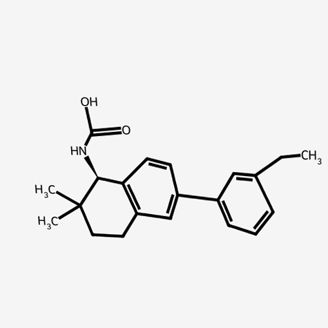 CCc1cccc(-c2ccc3c(c2)CCC(C)(C)[C@H]3NC(=O)O)c1